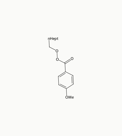 [CH2]CCCCCCCOOC(=O)c1ccc(OC)cc1